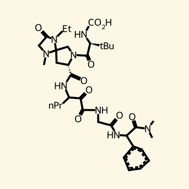 CCCC(NC(=O)[C@@H]1CC2(CN1C(=O)[C@@H](NC(=O)O)C(C)(C)C)N(C)CC(=O)N2CC)C(=O)C(=O)NCC(=O)NC(C(=O)N(C)C)c1ccccc1